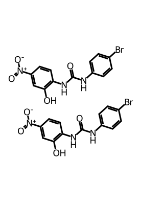 O=C(Nc1ccc(Br)cc1)Nc1ccc([N+](=O)[O-])cc1O.O=C(Nc1ccc(Br)cc1)Nc1ccc([N+](=O)[O-])cc1O